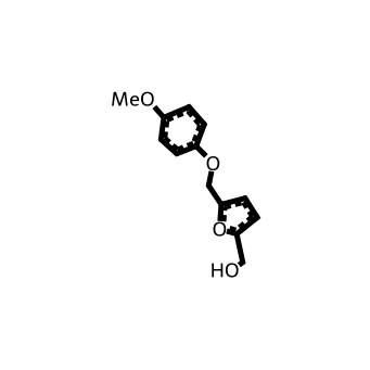 COc1ccc(OCc2ccc(CO)o2)cc1